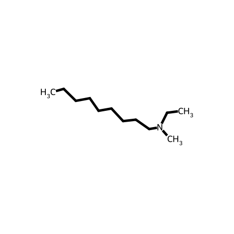 CCCCCCCCCN(C)CC